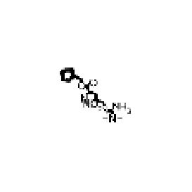 N=C(N)NCCCC(N[N+](=O)[O-])C(=O)OCc1ccccc1